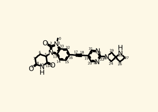 Cn1c(=O)n(C2CCC(=O)NC2=O)c2ccc(C#Cc3cnc(N4CC5(CCN5)C4)nc3)cc21